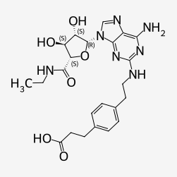 CCNC(=O)[C@H]1O[C@@H](n2cnc3c(N)nc(NCCc4ccc(CCC(=O)O)cc4)nc32)[C@@H](O)[C@@H]1O